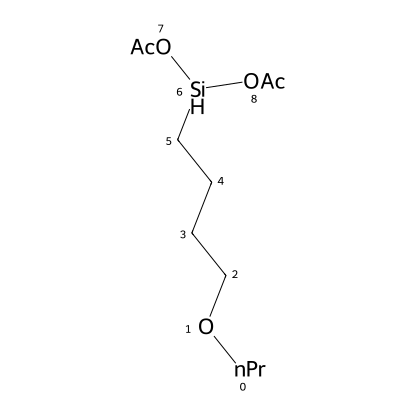 CCCOCCCC[SiH](OC(C)=O)OC(C)=O